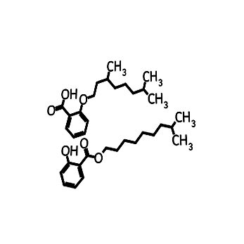 CC(C)CCCC(C)CCOc1ccccc1C(=O)O.CC(C)CCCCCCCOC(=O)c1ccccc1O